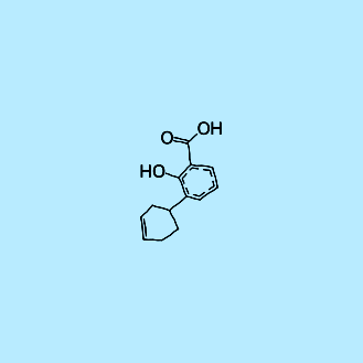 O=C(O)c1cccc(C2CC=CCC2)c1O